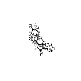 C[C@]12CC[C@H]3[C@@H](CCC45OC4C(=O)[C@H]4CC4[C@]35C)[C@@H]1C[C@H](F)C2=O